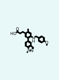 COc1ccc(CNc2cc(C)c(CCC(=O)O)cc2-c2ccc3c(cnn3C)c2)cc1